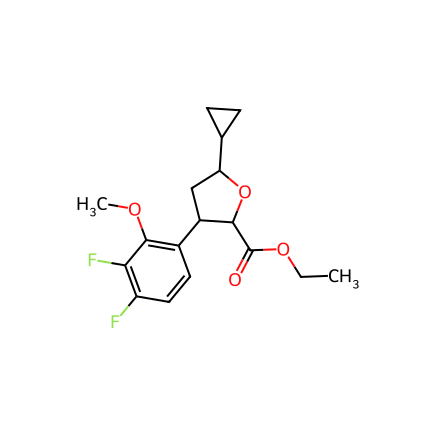 CCOC(=O)C1OC(C2CC2)CC1c1ccc(F)c(F)c1OC